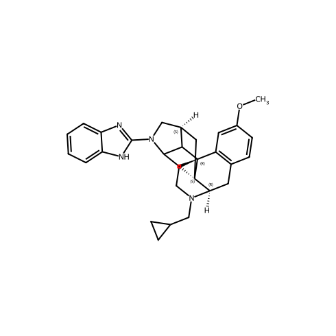 COc1ccc2c(c1)[C@]13CCN(CC4CC4)[C@H](C2)[C@]12CCC1C3[C@@H](CN1c1nc3ccccc3[nH]1)C2